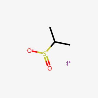 CC(C)S(=O)[O-].[I+]